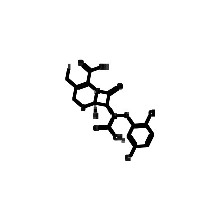 CC(=O)N(Sc1cc(Cl)ccc1Cl)C1C(=O)N2C(C(=O)O)=C(CI)CS[C@H]12